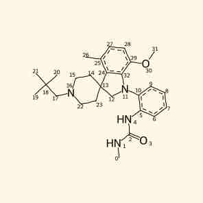 CNC(=O)Nc1ccccc1N1CC2(CCN(CC(C)(C)C)CC2)c2c(C)ccc(OC)c21